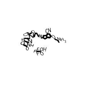 CC(N)COc1cc(C#N)c2c(c1)CC(CNCCC1CN(c3cnc4c(n3)NC(=O)CO4)C(=O)O1)C2.O=C(O)C(F)(F)F